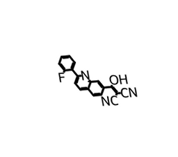 N#CC(C#N)=C(O)c1ccc2ccc(-c3ccccc3F)nc2c1